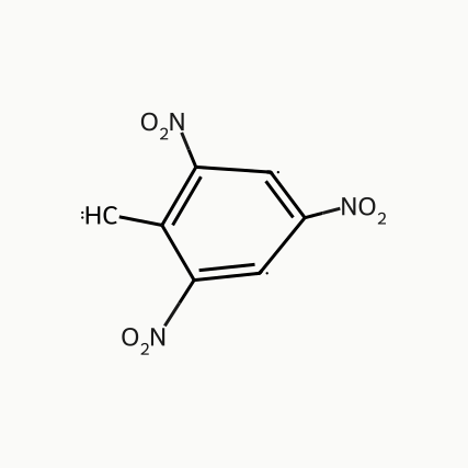 [CH]c1c([N+](=O)[O-])[c]c([N+](=O)[O-])[c]c1[N+](=O)[O-]